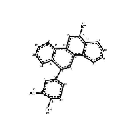 CC(=O)c1cc(-c2cc3c4ccccc4c(Br)cc3c3ccccc23)ccc1O